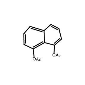 CC(=O)Oc1cccc2cccc(OC(C)=O)c12